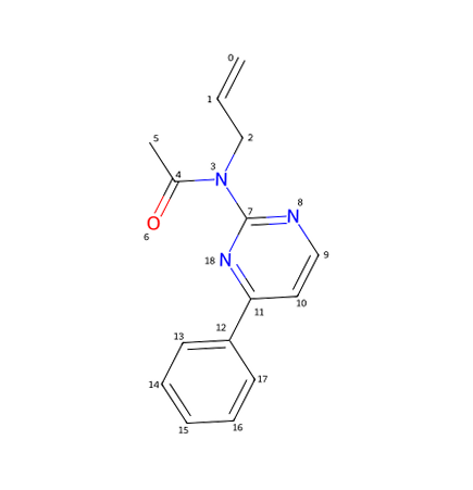 C=CCN(C(C)=O)c1nccc(-c2ccccc2)n1